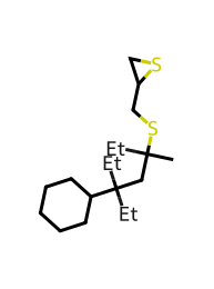 CCC(C)(CC(CC)(CC)C1CCCCC1)SCC1CS1